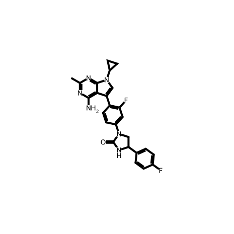 Cc1nc(N)c2c(-c3ccc(N4CC(c5ccc(F)cc5)NC4=O)cc3F)cn(C3CC3)c2n1